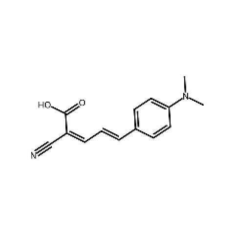 CN(C)c1ccc(C=CC=C(C#N)C(=O)O)cc1